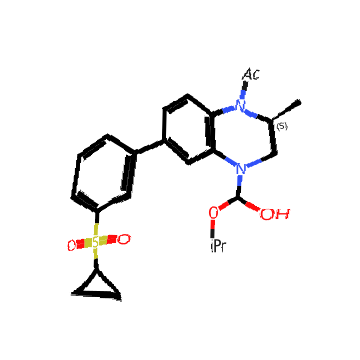 CC(=O)N1c2ccc(-c3cccc(S(=O)(=O)C4CC4)c3)cc2N(C(O)OC(C)C)C[C@@H]1C